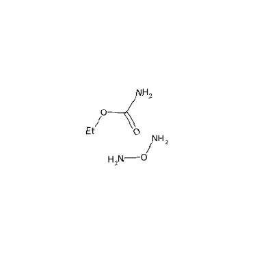 CCOC(N)=O.NON